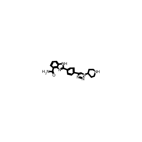 NC(=O)c1cccc2[nH]c(-c3ccc(-c4cn(C5CCNCC5)nn4)cc3)nc12